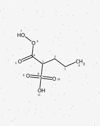 CCCC(C(=O)OO)S(=O)(=O)O